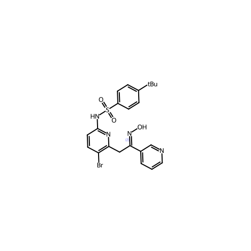 CC(C)(C)c1ccc(S(=O)(=O)Nc2ccc(Br)c(C/C(=N/O)c3cccnc3)n2)cc1